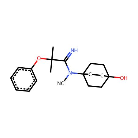 CC(C)(Oc1ccccc1)C(=N)N(C#N)C12CCC(O)(CC1)CC2